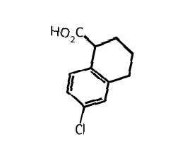 O=C(O)C1CCCc2cc(Cl)ccc21